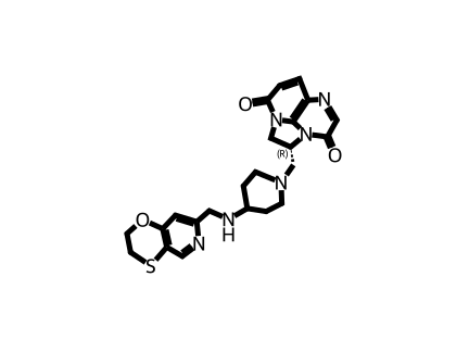 O=c1ccc2ncc(=O)n3c2n1C[C@H]3CN1CCC(NCc2cc3c(cn2)SCCO3)CC1